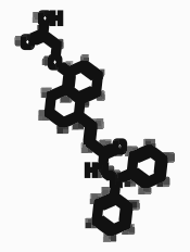 O=C(O)COc1cccc2c1CCCC2C=CC(=O)NN(c1ccccc1)c1ccccc1